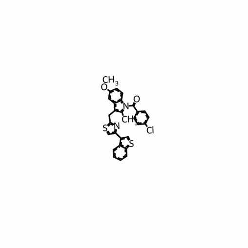 COc1ccc2c(c1)c(Cc1nc(-c3csc4ccccc34)cs1)c(C)n2C(=O)c1ccc(Cl)cc1